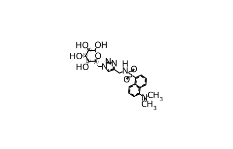 CN(C)c1cccc2c(S(=O)(=O)NCc3cn(C[C@H]4OC(O)[C@H](O)[C@@H](O)[C@@H]4O)nn3)cccc12